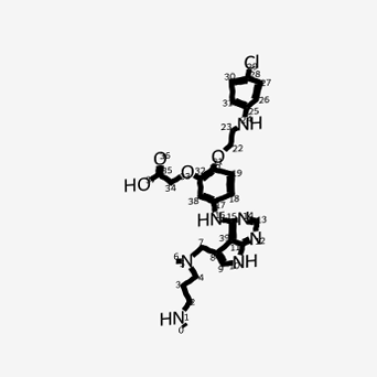 CNCCCN(C)Cc1c[nH]c2ncnc(Nc3ccc(OCCNc4ccc(Cl)cc4)c(OCC(=O)O)c3)c12